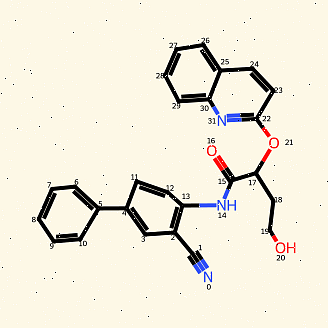 N#Cc1cc(-c2ccccc2)ccc1NC(=O)C(CCO)Oc1ccc2ccccc2n1